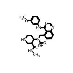 CNC(=O)C1CNCCC1N(Cc1cccc2ncnc(Nc3cccc(OC)c3)c12)C(=O)O